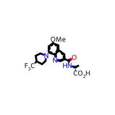 COc1cc(N2CCC(C(F)(F)F)CC2)c2ncc(C(=O)N[C@H](C)C(=O)O)cc2c1